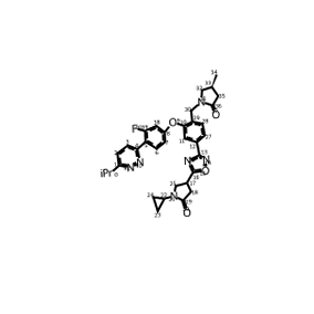 CC(C)c1ccc(-c2ccc(Oc3cc(-c4noc(C5CC(=O)N(C6CC6)C5)n4)ccc3CN3C[C@@H](C)CC3=O)cc2F)nn1